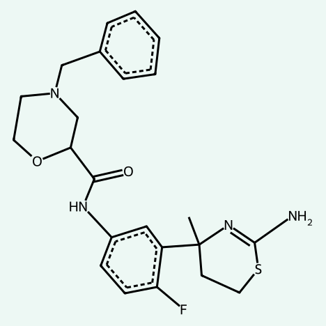 CC1(c2cc(NC(=O)C3CN(Cc4ccccc4)CCO3)ccc2F)CCSC(N)=N1